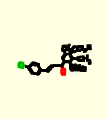 COc1c(C(=O)C=Cc2ccc(Cl)cc2)cc(C)c(C(=O)O)c1C